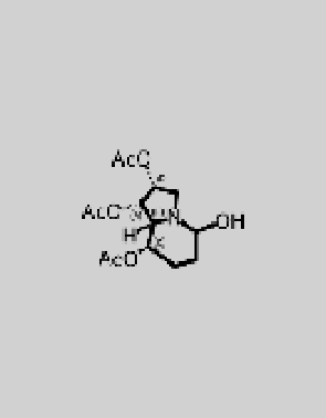 CC(=O)O[C@H]1[C@H]2[C@H](OC(C)=O)CCC(O)N2C[C@H]1OC(C)=O